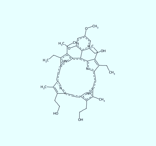 CCC1=C(CC)c2nc1cc1[nH]c(cc3nc(cc4[nH]c(c(CC)c4CC)c2-c2c(CO)cc(OC)cc2OC)C(C)=C3CCO)c(CCO)c1C